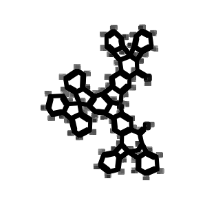 O=C1c2cc3c(cc2C2c4ccccc4C24CC1c1ccccc14)c1cc2c(c4c5cc6c(cc5n3c14)C(=O)C1c3ccccc3C13c1ccccc1C63)-c1ccccc1C21c2ccccc2-c2ccccc21